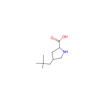 CC(C)(C)CC1CNC(C(=O)O)C1